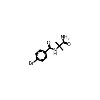 CC(C)(NC(=O)c1ccc(Br)cc1)C(N)=O